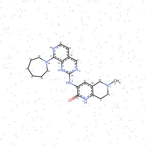 CN1CCc2[nH]c(=O)c(Nc3ncc4ccnc(N5CCCCCC5)c4n3)cc2C1